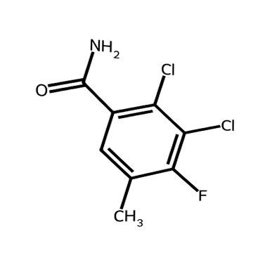 Cc1cc(C(N)=O)c(Cl)c(Cl)c1F